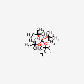 CC(C)(C)[O][Ti]([O]C(C)(C)C)([O]C(C)(C)C)[O]C(C)(C)C.[Ti]